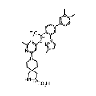 Cc1ccn(-c2cc(-c3ccc(C)c(C)c3)ccc2[C@@H](Oc2cc(N3CCC4(CC3)CN[C@H](C(=O)O)C4)nc(C)n2)C(F)(F)F)n1